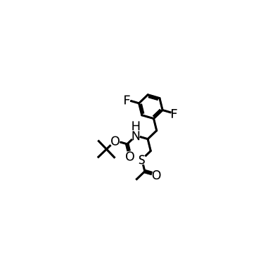 CC(=O)SCC(Cc1cc(F)ccc1F)NC(=O)OC(C)(C)C